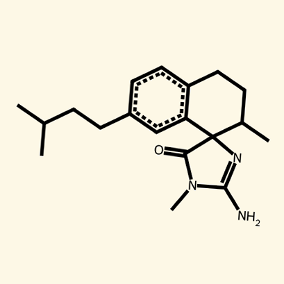 CC(C)CCc1ccc2c(c1)C1(N=C(N)N(C)C1=O)C(C)CC2